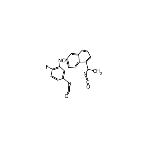 CC(N=C=O)c1cccc2ccccc12.O=C=Nc1ccc(F)c([N+](=O)[O-])c1